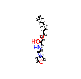 C[Si](C)(C)CC[Si](C)(C)CCCOCC(O)CNCCN1CCOCC1